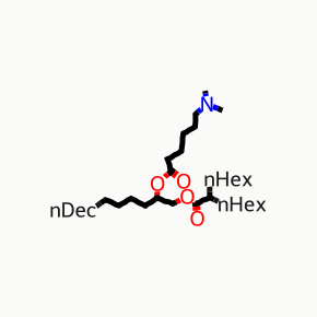 CCCCCCCCCCCCCCC(COC(=O)C(CCCCCC)CCCCCC)OC(=O)CCCCCN(C)C